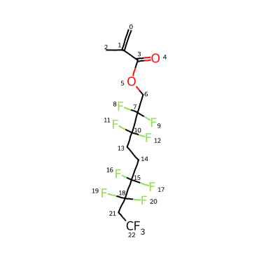 C=C(C)C(=O)OCC(F)(F)C(F)(F)CCC(F)(F)C(F)(F)CC(F)(F)F